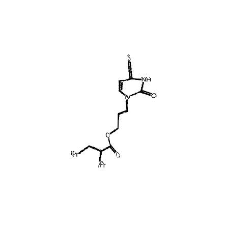 CC(C)CC(C(=O)OCCCn1ccc(=S)[nH]c1=O)C(C)C